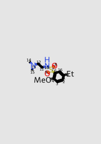 CCc1ccc(OC)c(S(=O)(=O)NCCN(C)C)c1